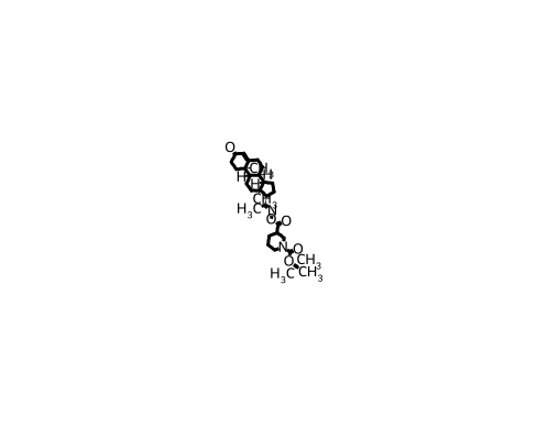 C/C(=N\OC(=O)C1CCCN(C(=O)OC(C)(C)C)C1)[C@H]1CC[C@H]2[C@@H]3CCC4=CC(=O)CC[C@]4(C)[C@H]3CC[C@]12C